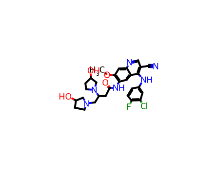 COc1cc2ncc(C#N)c(Nc3ccc(F)c(Cl)c3)c2cc1NC(=O)CC(CN1CCC(O)C1)N1CCC(O)C1